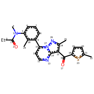 CCC(=O)N(C)c1cccc(-c2ccnc3c(C(=O)c4ccc(C)s4)c(C)nn23)c1C